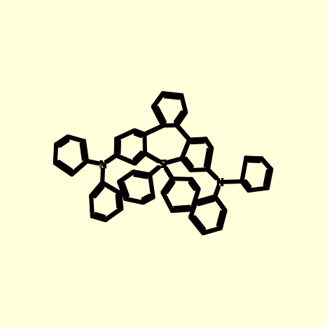 c1ccc(N(c2ccccc2)c2ccc3c(c2)[Si](c2ccccc2)(c2ccccc2)c2cc(N(c4ccccc4)c4ccccc4)ccc2-c2ccccc2-3)cc1